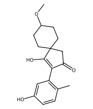 COC1CCC2(CC1)CC(=O)C(c1cc(O)ccc1C)=C2O